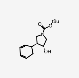 CC(C)(C)OC(=O)N1C[C@H](C2C=CC=CC2)[C@@H](O)C1